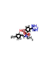 CC(C)c1ccc(CCN(C)S(=O)(=O)c2cc(C(=N)N)ccc2O)cc1